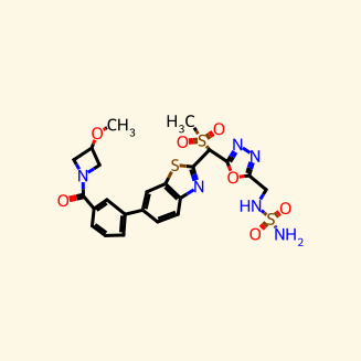 COC1CN(C(=O)c2cccc(-c3ccc4nc(C(c5nnc(CNS(N)(=O)=O)o5)S(C)(=O)=O)sc4c3)c2)C1